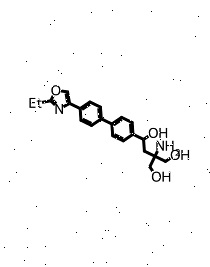 CCc1nc(-c2ccc(-c3ccc(C(O)CC(N)(CO)CO)cc3)cc2)co1